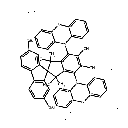 CC(C)(C)c1ccc2c(c1)C1(c3cc(C(C)(C)C)ccc3-2)C(C)(C)c2c(N3c4ccccc4Sc4ccccc43)c(C#N)c(C#N)c(N3c4ccccc4Sc4ccccc43)c2C1(C)C